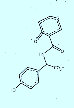 O=C(NC(C(=O)O)c1ccc(O)cc1)c1csccc1=O